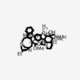 CCC1=C[C@@H]2CN(CCc3c([nH]c4ccccc34)[C@@](C(=O)OC)(c3cc4c(cc3OC)N(C)[C@H]3C(O)(CNC(C)=O)[C@H](OC(C)=O)[C@]5(CC)C=CCN6CC[C@]43[C@@H]65)C2)C1